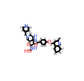 Cc1cc(COc2ccc(C(=O)NC3(CC(=O)NO)CCN(Cc4ccncc4)CC3)cc2)c2ccccc2n1